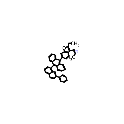 C=Cc1oc2cc(-c3c4ccccc4c(-c4cccc5ccc(-c6ccccc6)cc45)c4ccccc34)ccc2c1/C=C\C